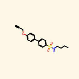 C#CCOc1ccc(-c2ccc(S(=O)(=O)NCCCC)cc2)cc1